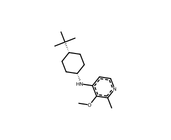 COc1c(N[C@H]2CC[C@@H](C(C)(C)C)CC2)ccnc1C